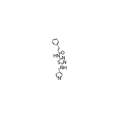 O=C(/C=C/c1ccccc1)Nc1nnc(NCc2ccncc2)s1